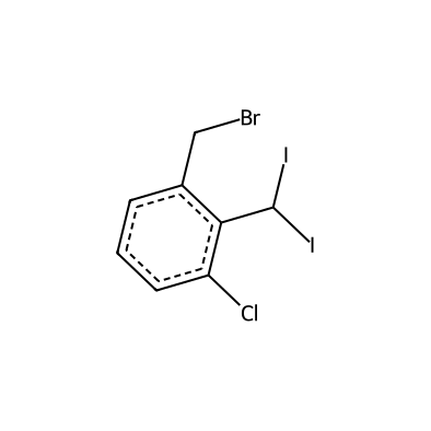 Clc1cccc(CBr)c1C(I)I